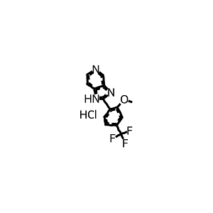 COc1cc(C(F)(F)F)ccc1-c1nc2cnccc2[nH]1.Cl